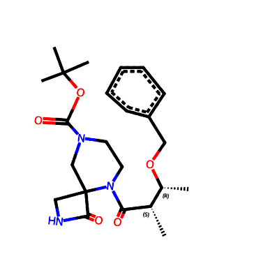 C[C@H](C(=O)N1CCN(C(=O)OC(C)(C)C)CC12CNC2=O)[C@@H](C)OCc1ccccc1